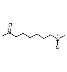 C[SiH](Cl)CCCCCC[SiH](C)Cl